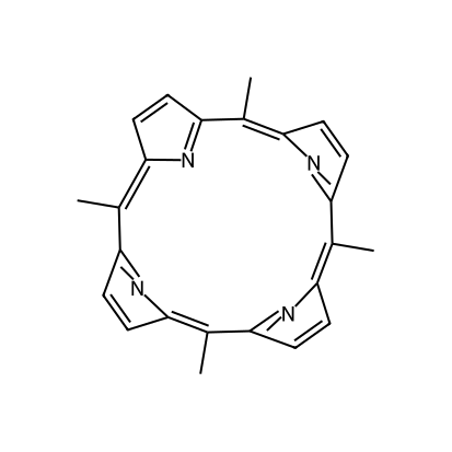 CC1=C2C=CC(=N2)C(C)=C2C=CC(=N2)C(C)=C2C=CC(=N2)C(C)=C2C=CC1=N2